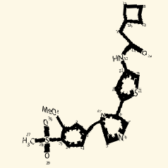 COc1cc(-c2cncc(-c3cc(NC(=O)CC4CCC4)cs3)n2)ccc1S(C)(=O)=O